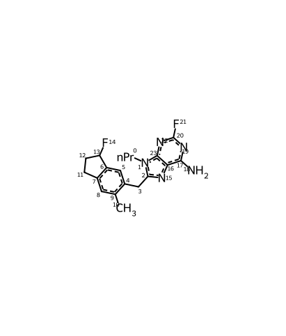 CCCn1c(Cc2cc3c(cc2C)CCC3F)nc2c(N)nc(F)nc21